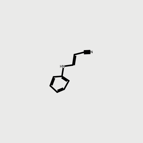 N#CC=CNc1ccccc1